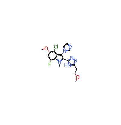 COCCc1nnc(-c2c(-n3ccnc3)c3c(Cl)c(OC)cc(F)c3n2C)[nH]1